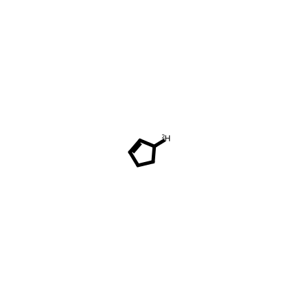 [2H][C]1C=CCC1